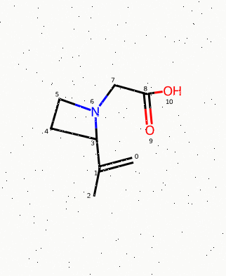 C=C(C)C1CCN1CC(=O)O